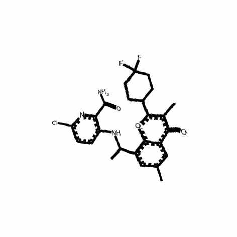 Cc1cc(C(C)Nc2ccc(Cl)nc2C(N)=O)c2oc(C3CCC(F)(F)CC3)c(C)c(=O)c2c1